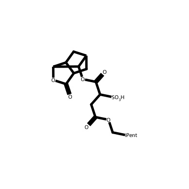 CCCC(C)COC(=O)CC(C(=O)OC1C2CC3C(=O)OC1C3C2)S(=O)(=O)O